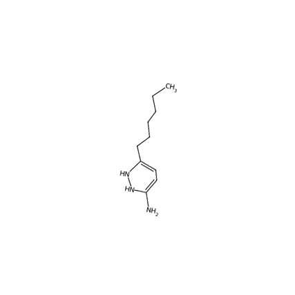 CCCCCCC1=CC=C(N)NN1